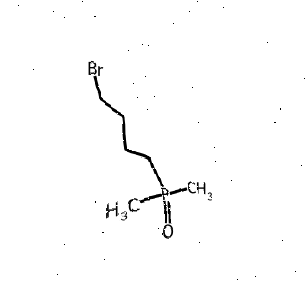 CP(C)(=O)CCCCBr